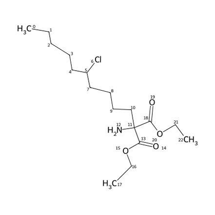 CCCCCC(Cl)CCCCC(N)(C(=O)OCC)C(=O)OCC